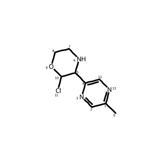 Cc1cnc(C2NCCOC2Cl)cn1